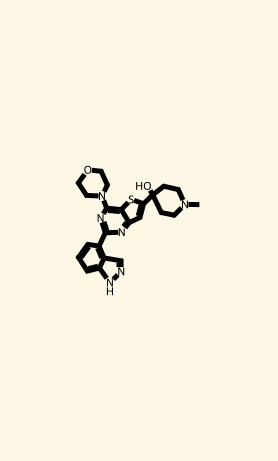 CN1CCC(O)(c2cc3nc(-c4cccc5[nH]ncc45)nc(N4CCOCC4)c3s2)CC1